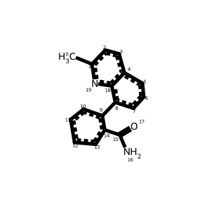 Cc1ccc2cccc(-c3ccccc3C(N)=O)c2n1